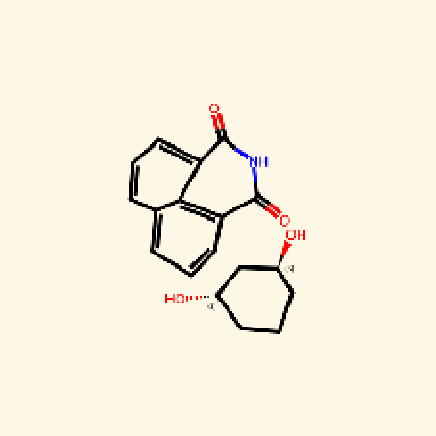 O=C1NC(=O)c2cccc3cccc1c23.O[C@H]1CCC[C@H](O)C1